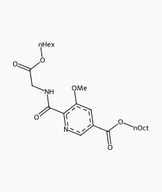 CCCCCCCCOC(=O)c1cnc(C(=O)NCC(=O)OCCCCCC)c(OC)c1